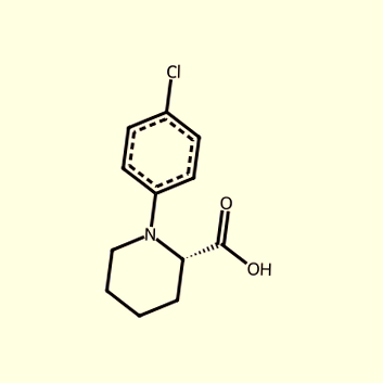 O=C(O)[C@@H]1CCCCN1c1ccc(Cl)cc1